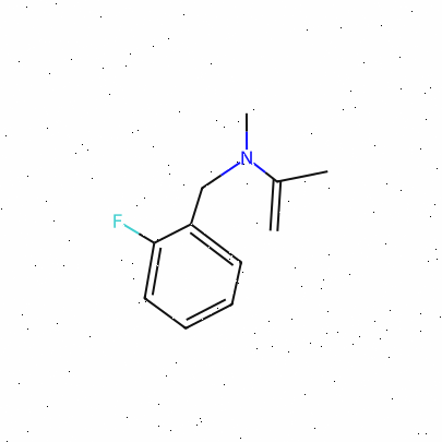 C=C(C)N(C)Cc1ccccc1F